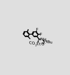 CCOC(=O)C[C@H](N[S@+]([O-])C(C)(C)C)c1cc(-c2c(C)cccc2C)cc(F)c1F